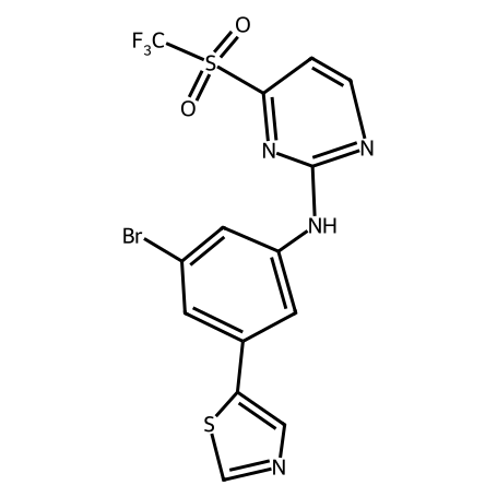 O=S(=O)(c1ccnc(Nc2cc(Br)cc(-c3cncs3)c2)n1)C(F)(F)F